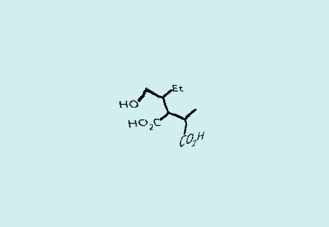 CCC(CO)C(C(=O)O)C(C)C(=O)O